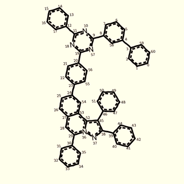 c1ccc(-c2cccc(-c3nc(-c4ccccc4)nc(-c4ccc(-c5ccc6cc(-c7ccccc7)n7nc(-c8ccccc8)c(-c8ccccc8)c7c6c5)cc4)n3)c2)cc1